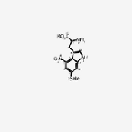 CSc1cc([N+](=O)[O-])c2c(CC(N)C(=O)O)c[nH]c2c1